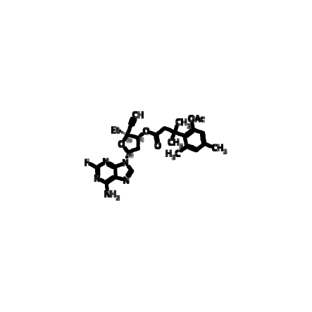 C#C[C@]1(CC)O[C@@H](n2cnc3c(N)nc(F)nc32)C[C@@H]1OC(=O)CC(C)(C)c1c(C)cc(C)cc1OC(C)=O